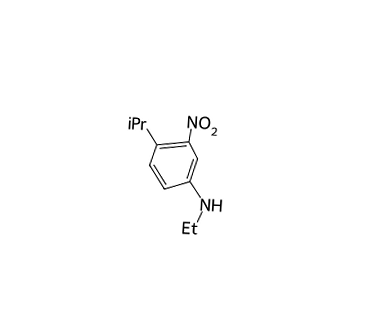 CCNc1ccc(C(C)C)c([N+](=O)[O-])c1